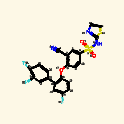 N#Cc1cc(S(=O)(=O)Nc2nccs2)ccc1Oc1ccc(F)cc1-c1ccc(F)c(F)c1